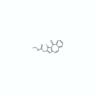 CCOC(=O)Cc1cc2ccc3ccccc3c(=O)c2n1C